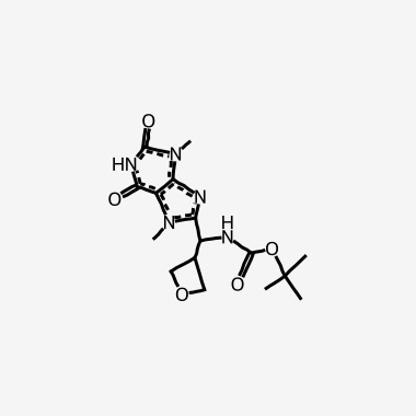 Cn1c(C(NC(=O)OC(C)(C)C)C2COC2)nc2c1c(=O)[nH]c(=O)n2C